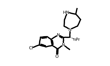 CCC[C@H](c1nc2ccc(Cl)cc2c(=O)n1C)N1CCNC(C)CC1